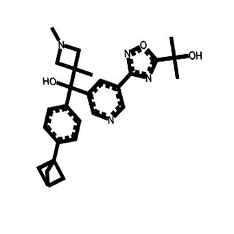 CN1CC(C)(C(O)(c2ccc(C34CC(C3)C4)cc2)c2cncc(-c3noc(C(C)(C)O)n3)c2)C1